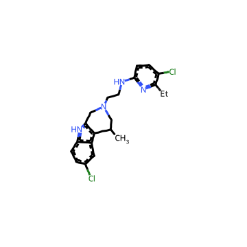 CCc1nc(NCCN2Cc3[nH]c4ccc(Cl)cc4c3C(C)C2)ccc1Cl